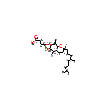 CC(C)CCCC(C)CCC[C@]1(C)CCC2C(C)C3OC(CCC(O)O)OC3C(C)C2O1